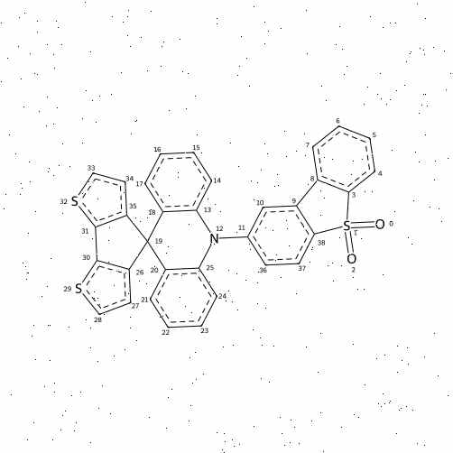 O=S1(=O)c2ccccc2-c2cc(N3c4ccccc4C4(c5ccccc53)c3ccsc3-c3sccc34)ccc21